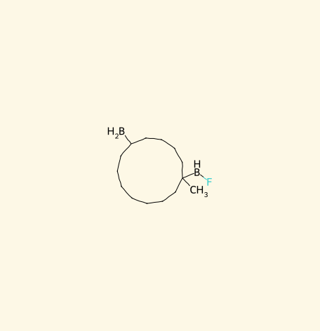 BC1CCCCCCCC(C)(BF)CCCC1